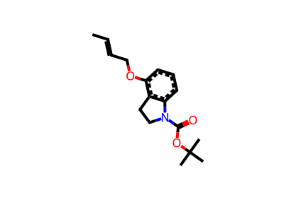 C/C=C/COc1cccc2c1CCN2C(=O)OC(C)(C)C